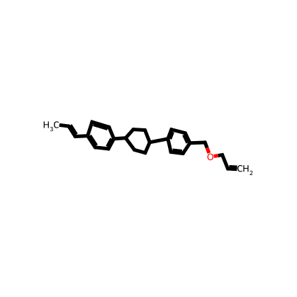 C=CCOCc1ccc(C2CCC(c3ccc(/C=C/C)cc3)CC2)cc1